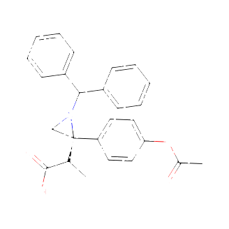 CC(=O)Oc1ccc([C@]2(C(C)C(=O)O)CN2C(c2ccccc2)c2ccccc2)cc1